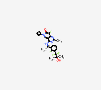 Cc1nc(N[C@H](C)c2cccc(C(F)(F)C(C)(C)O)c2F)c2cn(C34CC(C3)C4)c(=O)c(F)c2n1